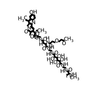 CCc1c2c(nc3ccc(O)cc13)-c1cc3c(c(=O)n1C2)COC(=O)[C@@]3(CC)OC(=O)CNC(=O)CC(NC(=O)CCOCCC(C)=O)C(=O)NCCNC(=O)[C@H](O)[C@@H](O)[C@@H](O)[C@H](O)C(=O)NCCNC(=O)C(I)NC